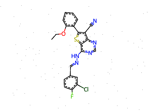 CCOc1ccccc1-c1sc2c(N/N=C/c3ccc(F)c(Cl)c3)ncnc2c1C#N